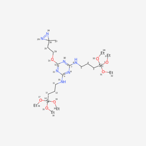 CCO[Si](CCCNc1nc(NCCC[Si](OCC)(OCC)OCC)nc(OCCC2(C)N=N2)n1)(OCC)OCC